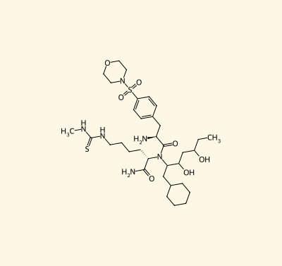 CCC(O)CC(O)C(CC1CCCCC1)N(C(=O)[C@@H](N)Cc1ccc(S(=O)(=O)N2CCOCC2)cc1)[C@@H](CCCCNC(=S)NC)C(N)=O